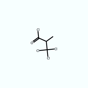 CC(C(=O)Cl)C(Cl)(Cl)Cl